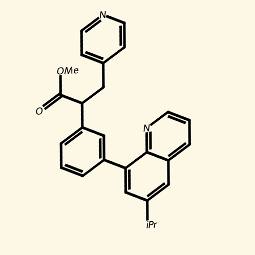 COC(=O)C(Cc1ccncc1)c1cccc(-c2cc(C(C)C)cc3cccnc23)c1